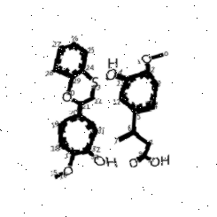 COc1ccc(C(C)CC(=O)O)cc1O.COc1ccc(C2CSc3ccccc3O2)cc1O